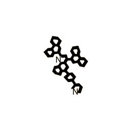 c1cncc(-c2ccc(-c3cc4c(-c5cc6ccccc6c6ccccc56)cc(-c5cc6ccccc6c6ccccc56)nc4c4ccccc34)cc2)c1